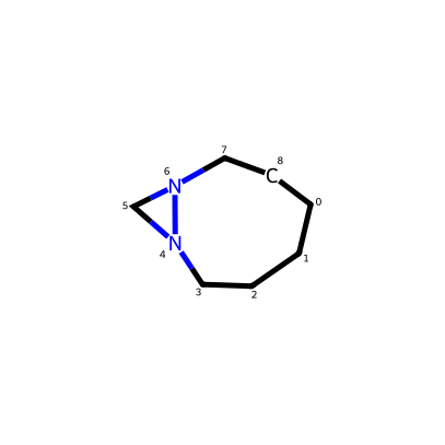 C1CCCN2CN2CC1